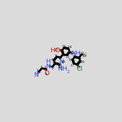 N#CCC(=O)NCc1ccc(-c2cc(Nc3ccc(Cl)cc3CF)ccc2O)nc1N